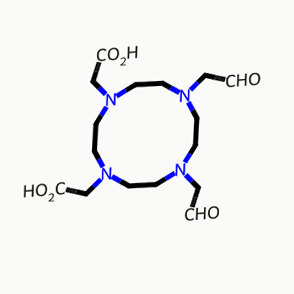 O=CCN1CCN(CC=O)CCN(CC(=O)O)CCN(CC(=O)O)CC1